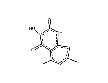 Cc1cc(C)c2c(=O)n(O)c(=O)[nH]c2c1